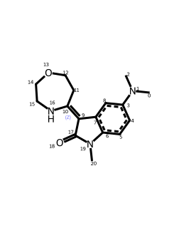 CN(C)c1ccc2c(c1)/C(=C1\CCOCCN1)C(=O)N2C